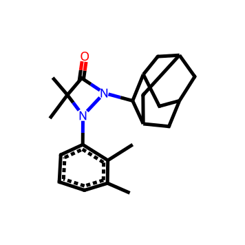 Cc1cccc(N2N(C3C4CC5CC(C4)CC3C5)C(=O)C2(C)C)c1C